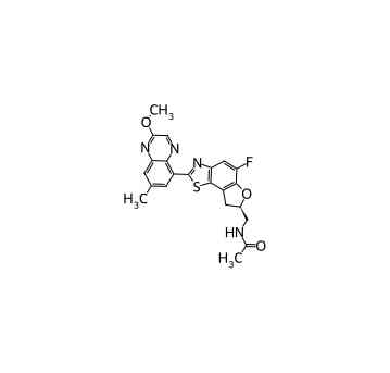 COc1cnc2c(-c3nc4cc(F)c5c(c4s3)C[C@H](CNC(C)=O)O5)cc(C)cc2n1